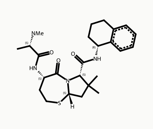 CN[C@@H](C)C(=O)N[C@H]1CCS[C@H]2CC(C)(C)[C@@H](C(=O)N[C@@H]3CCCc4ccccc43)N2C1=O